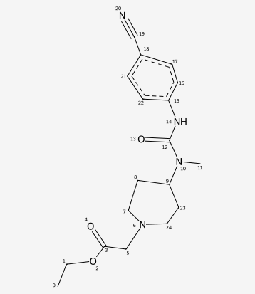 CCOC(=O)CN1CCC(N(C)C(=O)Nc2ccc(C#N)cc2)CC1